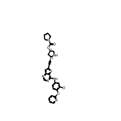 O=C(O[C@H]1CN[C@@H](C#Cc2cc3ncnc(Nc4ccc(Oc5ccccn5)c(Cl)c4)c3s2)C1)N1CCCC1